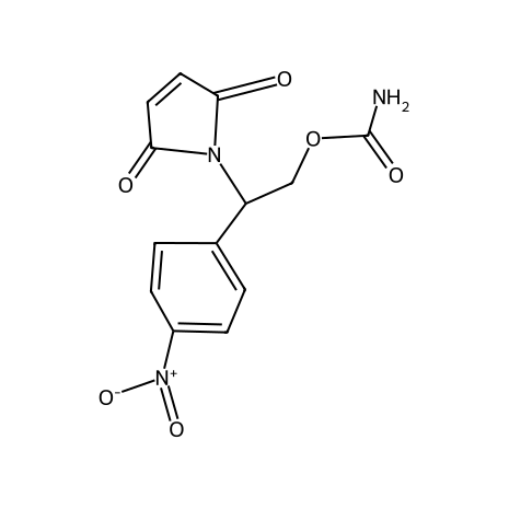 NC(=O)OCC(c1ccc([N+](=O)[O-])cc1)N1C(=O)C=CC1=O